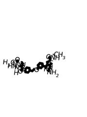 CCNC(=O)c1cc2c(-c3cccc(OCCC4CCN(C(=O)c5ncn6c5NNN(C)C6=O)CC4)c3)nc(N)nc2s1